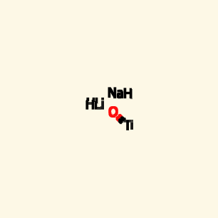 [LiH].[NaH].[O]=[Ti]